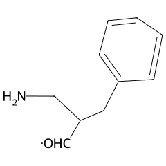 NCC([C]=O)Cc1ccccc1